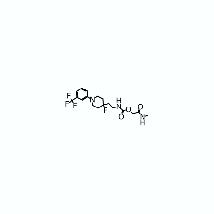 CNC(=O)COC(=O)NCCC1(F)CCN(c2cccc(C(F)(F)F)c2)CC1